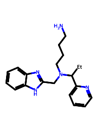 CCC(c1ccccn1)N(CCCCN)Cc1nc2ccccc2[nH]1